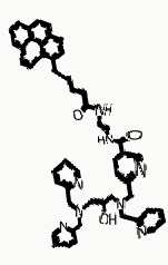 O=C(CCCCc1ccc2ccc3cccc4ccc1c2c34)NCCNC(=O)c1ccc(CN(Cc2ccccn2)CC(O)CN(Cc2ccccn2)Cc2ccccn2)nc1